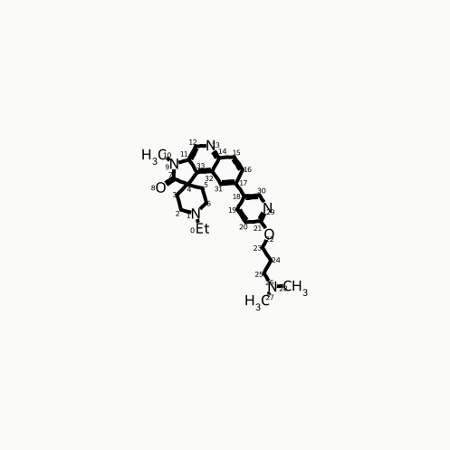 CCN1CCC2(CC1)C(=O)N(C)c1cnc3ccc(-c4ccc(OCCCN(C)C)nc4)cc3c12